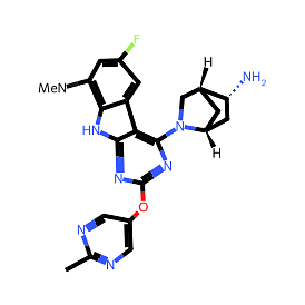 CNc1cc(F)cc2c1[nH]c1nc(Oc3cnc(C)nc3)nc(N3C[C@H]4C[C@@H]3C[C@H]4N)c12